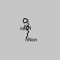 CCCCCCCCCCCCCc1nc(SC2CCCCC2)n[nH]1